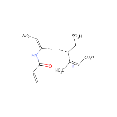 C=CC(=O)NC(C)=COC(C)=O.CC(CS(=O)(=O)O)/C(=C\C(=O)O)C(=O)O